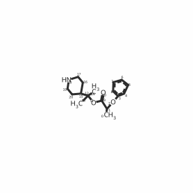 CC(Oc1ccccc1)C(=O)OC(C)(C)C1CCNCC1